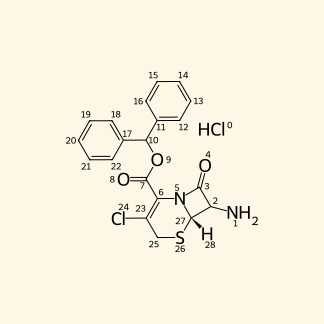 Cl.NC1C(=O)N2C(C(=O)OC(c3ccccc3)c3ccccc3)=C(Cl)CS[C@@H]12